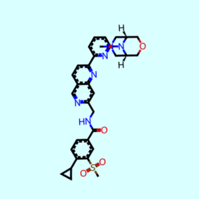 CN1C[C@H]2COC[C@@H](C1)N2c1cccc(-c2ccc3cnc(CNC(=O)c4ccc(C5CC5)c(S(C)(=O)=O)c4)cc3n2)n1